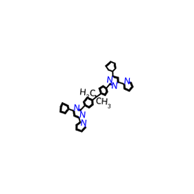 CC(C)(c1ccc(-c2nc(-c3ccccc3)cc(-c3ccccn3)n2)cc1)c1ccc(-c2nc(-c3ccccn3)cc(C3C=CC=CC3)n2)cc1